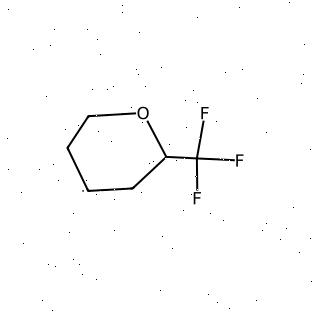 FC(F)(F)C1C[CH]CCO1